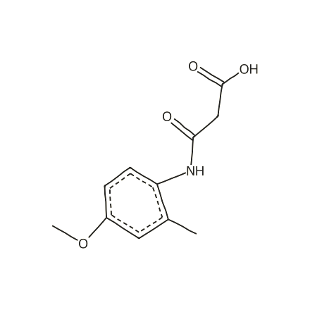 COc1ccc(NC(=O)CC(=O)O)c(C)c1